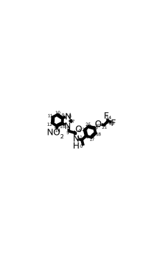 CC(NC(=O)Cn1cnc2cccc([N+](=O)[O-])c21)c1ccc(OCC(F)F)cc1